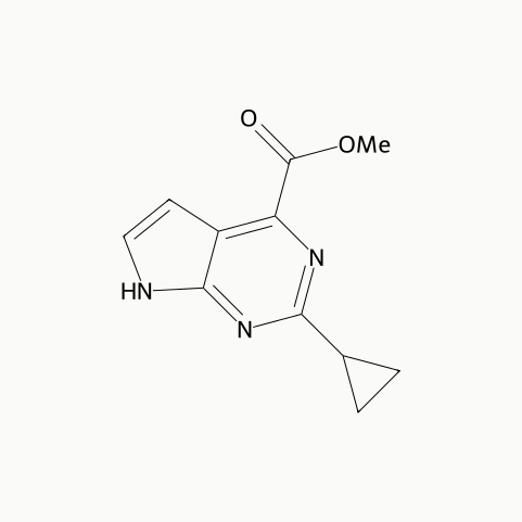 COC(=O)c1nc(C2CC2)nc2[nH]ccc12